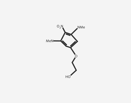 CNc1cc(OCCO)cc(NC)c1[N+](=O)[O-]